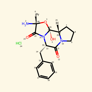 CC(C)[C@@]1(N)O[C@@]2(O)[C@@H]3CCCN3C(=O)[C@H](Cc3ccccc3)N2C1=O.Cl